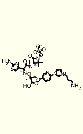 CC1(C)[C@H](NC(=O)/C(=N\O[C@@](C)(COc2ccc(-n3cc[n+](CCCN)c3)nc2)C(=O)O)c2csc(N)n2)C(=O)N1OS(=O)(=O)[O-]